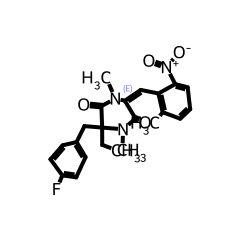 CCC1(Cc2ccc(F)cc2)C(=O)N(C)/C(=C/c2c(C)cccc2[N+](=O)[O-])C(=O)N1C